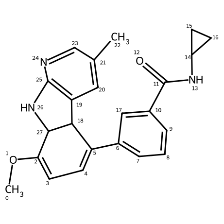 COC1=CC=C(c2cccc(C(=O)NC3CC3)c2)C2c3cc(C)cnc3NC12